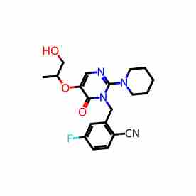 CC(CO)Oc1cnc(N2CCCCC2)n(Cc2cc(F)ccc2C#N)c1=O